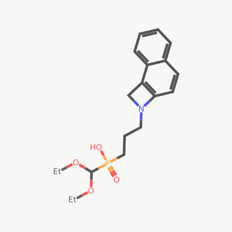 CCOC(OCC)P(=O)(O)CCCN1Cc2c1ccc1ccccc21